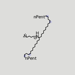 CCCCC/C=C\C/C=C\CCCCCCCCC(CCCCCCCC/C=C\C/C=C\CCCCC)NOCCCCN(C)C